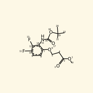 COC(=O)CCOc1ccc(F)c(F)c1NC(=O)OC(C)(C)C